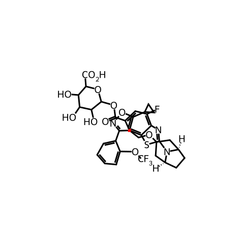 O=C(OC1OC(C(=O)O)C(O)C(O)C1O)c1cc(F)c2nc(N3[C@@H]4CC[C@H]3CC(OCc3c(-c5ccccc5OC(F)(F)F)noc3C3CC3)C4)sc2c1